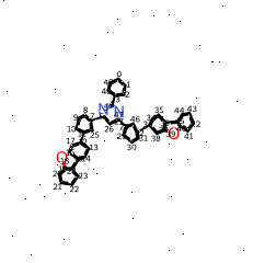 c1ccc(-c2nc(-c3cccc(-c4ccc5c(c4)oc4ccccc45)c3)cc(-c3cccc(-c4ccc5c(c4)oc4ccccc45)c3)n2)cc1